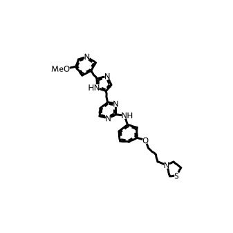 COc1cncc(-c2ncc(-c3ccnc(Nc4cccc(OCCCN5CCSC5)c4)n3)[nH]2)c1